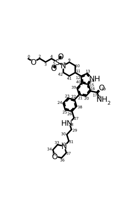 COCCCS(=O)(=O)N1CCC(c2c[nH]c3c(C(N)=O)cc(-c4cccc(CNCCCN5CCOCC5)c4)cc23)CC1